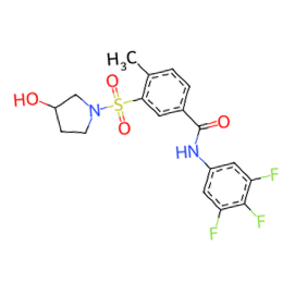 Cc1ccc(C(=O)Nc2cc(F)c(F)c(F)c2)cc1S(=O)(=O)N1CCC(O)C1